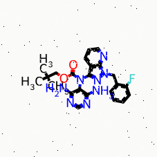 CC(C)(C)COC(=O)N(c1c(N)ncnc1N)c1nn(Cc2ccccc2F)c2ncccc12